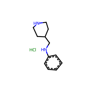 Cl.c1ccc(NCC2CCNCC2)cc1